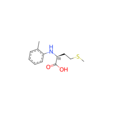 CSCC[C@H](Nc1ccccc1C)C(=O)O